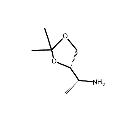 C[C@@H](N)[C@H]1COC(C)(C)O1